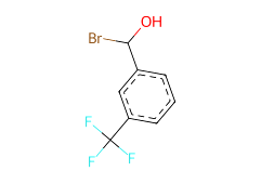 OC(Br)c1cccc(C(F)(F)F)c1